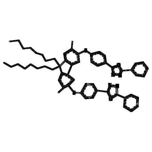 CCCCCCCCC1(CCCCCCCC)c2cc(C)c(Sc3ccc(-c4nnc(-c5ccccc5)o4)cc3)cc2-c2cc(Sc3ccc(-c4nnc(-c5ccccc5)o4)cc3)c(C)cc21